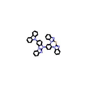 c1ccc2c(c1)nc1sc3nc4ccccc4n3c3cc(-n4c5ccc(-n6c7ccccc7c7ccccc76)cc5n5c6ccccc6nc45)ccc3n12